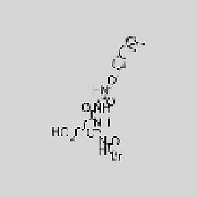 Cc1ccc(Cc2ccc(COCNC(=O)CNC(=O)[C@H](CCC(=O)O)NC(=O)CNC(=O)CBr)cc2)s1